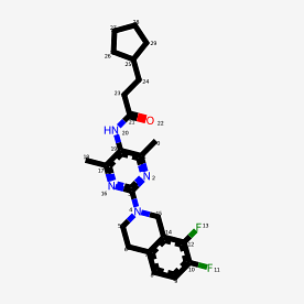 Cc1nc(N2CCc3ccc(F)c(F)c3C2)nc(C)c1NC(=O)CCC1CCCC1